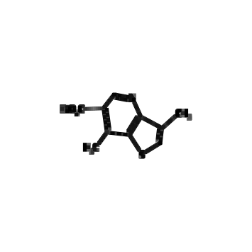 CCOC(=O)c1cnc2c(C)csc2c1C